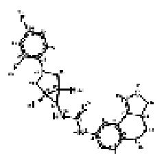 O=C(Nc1ccc2c(c1)C1=NOCC1CO2)N[C@H]1[C@@H]2CN(c3ccc(F)cc3F)C[C@@H]21